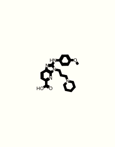 COc1ccc(Nc2nc3ccc(C(=O)O)nc3n2CCCN2CCCCC2)cc1